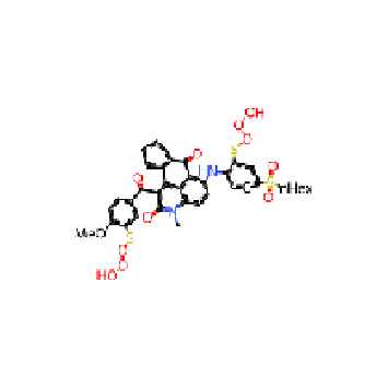 CCCCCCS(=O)(=O)c1ccc(Nc2ccc3c4c2C(=O)c2ccccc2-c4c(C(=O)c2ccc(OC)c(SOOO)c2)c(=O)n3C)c(SOOO)c1